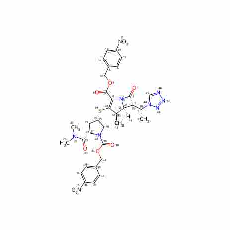 C[C@H]([C@H]1C(=O)N2C(C(=O)OCc3ccc([N+](=O)[O-])cc3)=C(S[C@H]3C[C@@H](C(=O)N(C)C)N(C(=O)OCc4ccc([N+](=O)[O-])cc4)C3)[C@H](C)[C@H]12)n1cnnn1